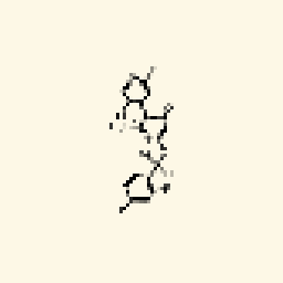 [2H]C([2H])(OC1=CC(=O)C(c2cc(F)ncc2C)C(C)=N1)c1ccc(F)cc1F